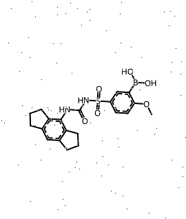 COc1ccc(S(=O)(=O)NC(=O)Nc2c3c(cc4c2CCC4)CCC3)cc1B(O)O